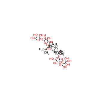 CC(C)=CCC[C@](C)(OC1OC(COC2OCC(O)C(O)C2O)C(O)C(O)C1O)[C@H]1CC[C@]2(C)[C@@H]1[C@H](O)C[C@@H]1[C@@]3(C)CC[C@H](OC4OC(CO)C(O)C(O)C4OC4OC(CO)C(O)C(O)C4O)C(C)(C)[C@@H]3CC[C@]12C